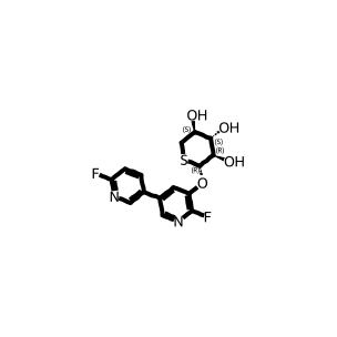 O[C@@H]1[C@@H](O)[C@H](Oc2cc(-c3ccc(F)nc3)cnc2F)SC[C@H]1O